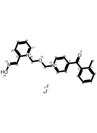 Cc1ccccc1C(=O)c1cc[n+](COC[n+]2ccccc2C=NO)cc1.[I-].[I-]